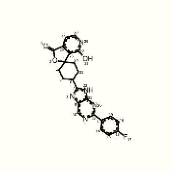 O=C1OC2(CCC(c3nc4cnc(-c5ccc(F)cc5)nc4[nH]3)CC2)c2c1ccnc2O